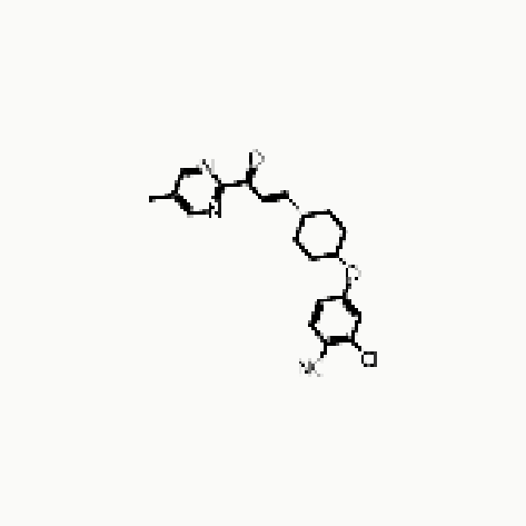 Cc1cnc(C(=O)/C=C/[C@H]2CC[C@H](Oc3ccc(C#N)c(Cl)c3)CC2)nc1